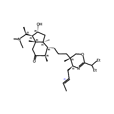 C/C=C/C[C@@H]1N=C(C(CC)CC)OC[C@@]1(C)CCC[C@@H]1[C@@H](C)C(=O)C[C@]2(C)[C@@H]([C@H](C)N(C)C)[C@H](O)C[C@@]12C